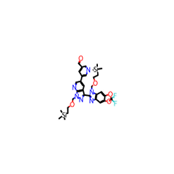 C[Si](C)(C)CCOCn1nc(-c2nc3cc4c(cc3n2COCC[Si](C)(C)C)OC(F)(F)O4)c2cc(-c3cncc(C=O)c3)cnc21